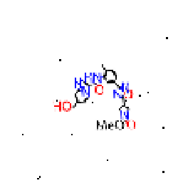 COC(=O)N1CC(c2nc(-c3ccc(C)c(NC(=O)c4cnc5cc(CO)ccn45)c3)no2)C1